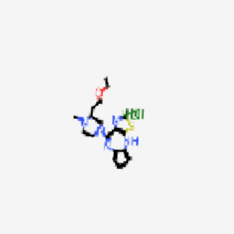 CCOCCC1CN(C2=Nc3ccccc3Nc3sc(C)nc32)CCN1C.Cl.Cl